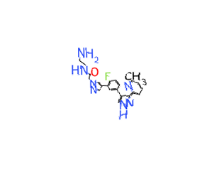 Cc1cccc(-c2n[nH]cc2-c2ccc(F)c(-c3cnn(CC(=O)NCCN)c3)c2)n1